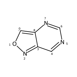 [c]1onc2cncnc12